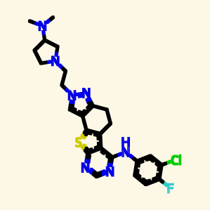 CN(C)C1CCN(CCn2cc3c(n2)CCc2c-3sc3ncnc(Nc4ccc(F)c(Cl)c4)c23)C1